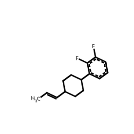 C/C=C/C1CCC(c2cccc(F)c2F)CC1